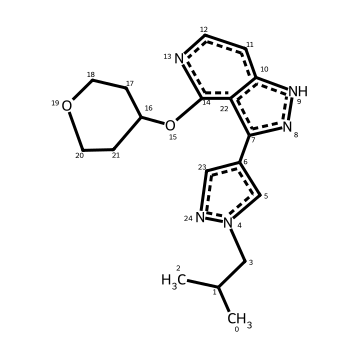 CC(C)Cn1cc(-c2n[nH]c3ccnc(OC4CCOCC4)c23)cn1